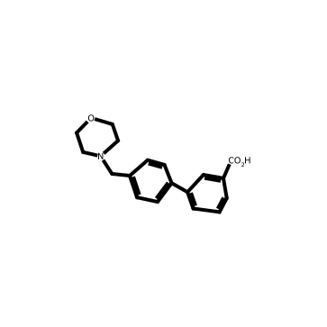 O=C(O)c1cccc(-c2ccc(CN3CCOCC3)cc2)c1